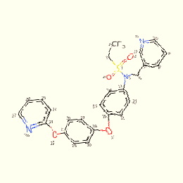 O=S(=O)(CC(F)(F)F)N(Cc1cccnc1)c1ccc(Oc2ccc(Oc3ccccn3)cc2)cc1